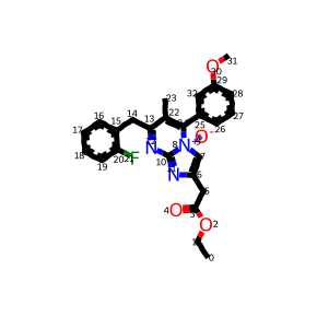 CCOC(=O)CC1=C[N+]2([O-])C(=N1)N=C(Cc1ccccc1F)C(C)=C2c1cccc(OC)c1